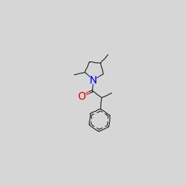 CC1CC(C)N(C(=O)C(C)c2ccccc2)C1